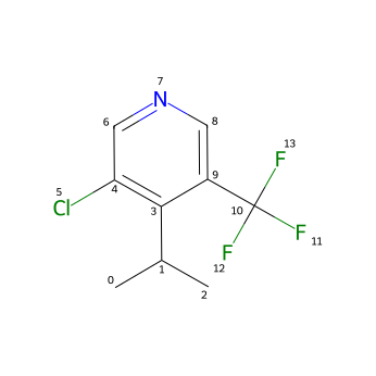 CC(C)c1c(Cl)cncc1C(F)(F)F